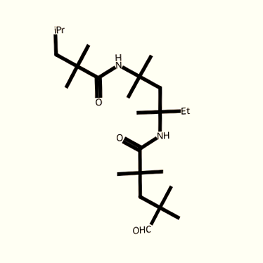 CCC(C)(CC(C)(C)NC(=O)C(C)(C)CC(C)C)NC(=O)C(C)(C)CC(C)(C)C=O